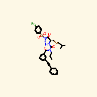 CCCN(C(=O)N[C@@H](CSCC(C)C)C(=O)NS(=O)(=O)c1ccc(Br)cc1)C(=O)c1cccc(C#Cc2ccccc2)c1